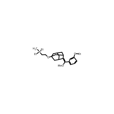 CCOc1cccc(C(OC)=C2C3CC4CC2CC(OCC[N+](C)(CC)CC)(C4)C3)c1